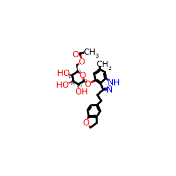 CC(=O)OC[C@H]1O[C@@H](Oc2cc(C)cc3[nH]nc(CCc4ccc5c(c4)CCO5)c23)[C@H](O)[C@@H](O)[C@@H]1O